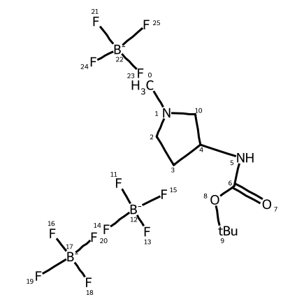 CN1CCC(NC(=O)OC(C)(C)C)C1.F[B-](F)(F)F.F[B-](F)(F)F.F[B-](F)(F)F